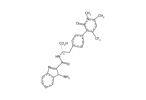 Cc1cc(C(F)(F)F)c(-c2ccc(C[C@H](NC(=O)C3=Nc4ccccc4C3N)C(=O)O)cc2)c(=O)n1C